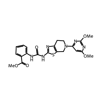 COC(=O)c1ccccc1NC(=O)Nc1nc2c(s1)CN(c1cc(OC)nc(OC)n1)CC2